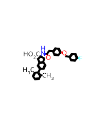 Cc1cccc(C)c1-c1ccc2c(c1)CC(NC(=O)Cc1ccc(OCc3ccc(F)cc3)cc1)(C(=O)O)C2